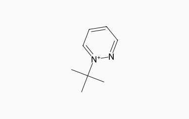 CC(C)(C)[n+]1ccccn1